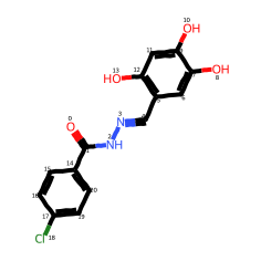 O=C(NN=Cc1cc(O)c(O)cc1O)c1ccc(Cl)cc1